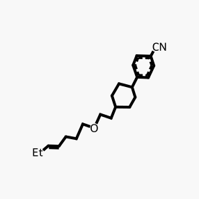 CC/C=C/CCCOCCC1CCC(c2ccc(C#N)cc2)CC1